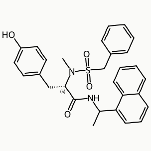 CC(NC(=O)[C@H](Cc1ccc(O)cc1)N(C)S(=O)(=O)Cc1ccccc1)c1cccc2ccccc12